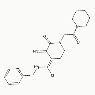 N=C1C(=O)N(CC(=O)N2CCCCC2)CC/C1=C(\Cl)NCc1ccccc1